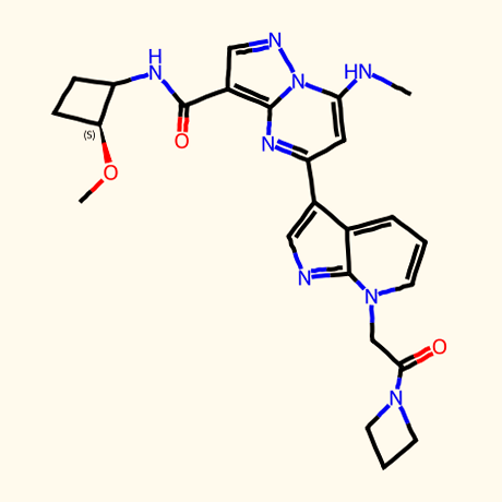 CNc1cc(-c2cnc3n(CC(=O)N4CCC4)cccc2-3)nc2c(C(=O)NC3CC[C@@H]3OC)cnn12